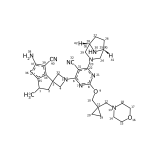 CC1CC2(CN(c3nc(OCC4(CN5CCOCC5)CC4)nc(N4C[C@H]5CC[C@@H](C4)N5)c3C#N)C2)c2c1sc(N)c2C#N